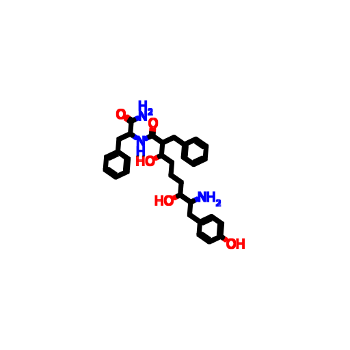 NC(=O)C(Cc1ccccc1)NC(=O)C(Cc1ccccc1)C(O)CCCC(O)C(N)Cc1ccc(O)cc1